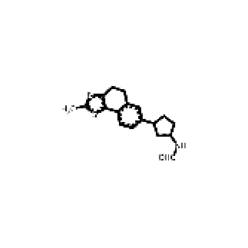 Cc1nc2c(s1)-c1ccc(C3CCC(NC=O)C3)cc1CC2